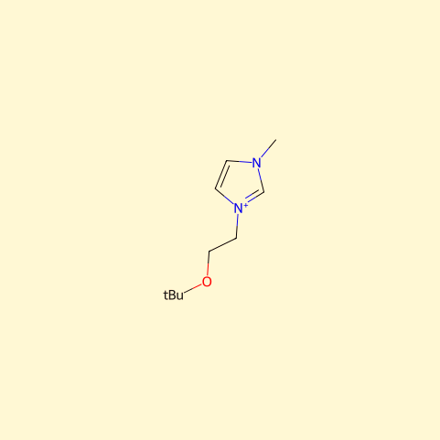 Cn1cc[n+](CCOC(C)(C)C)c1